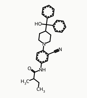 CCC(C)C(=O)Nc1ccc(N2CCC(C(O)(c3ccccc3)c3ccccc3)CC2)c(C#N)c1